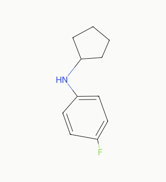 Fc1ccc(NC2CCCC2)cc1